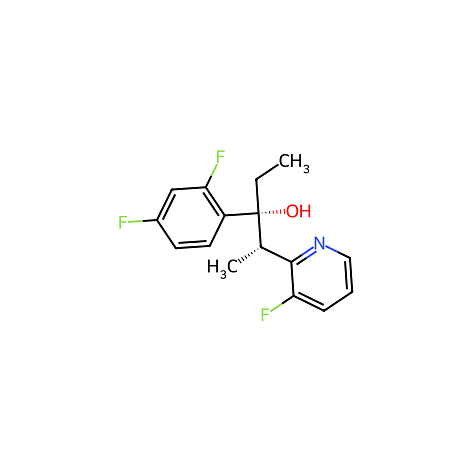 CC[C@](O)(c1ccc(F)cc1F)[C@@H](C)c1ncccc1F